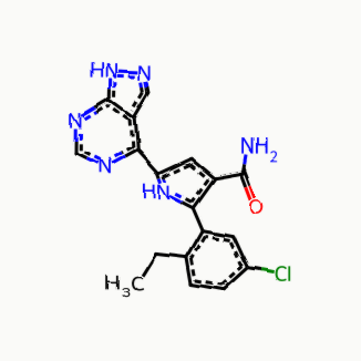 CCc1ccc(Cl)cc1-c1[nH]c(-c2ncnc3[nH]ncc23)cc1C(N)=O